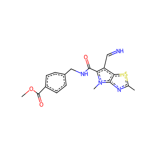 COC(=O)c1ccc(CNC(=O)c2c(C=N)c3sc(C)nc3n2C)cc1